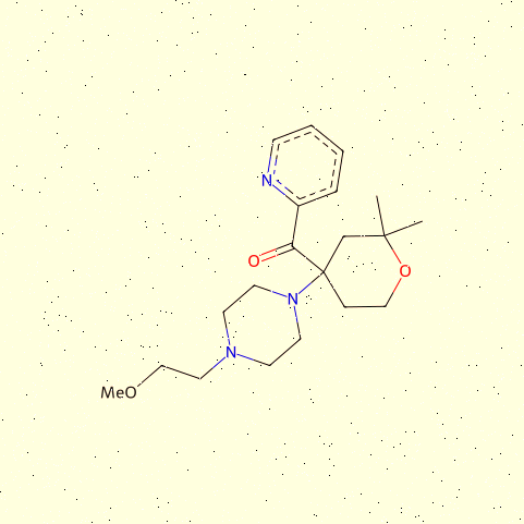 COCCN1CCN(C2(C(=O)c3ccccn3)CCOC(C)(C)C2)CC1